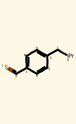 CC(C)Cc1ccc(C=S)cc1